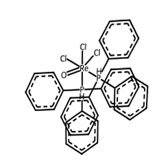 [O]=[Re]([Cl])([Cl])([Cl])([PH](c1ccccc1)(c1ccccc1)c1ccccc1)[PH](c1ccccc1)(c1ccccc1)c1ccccc1